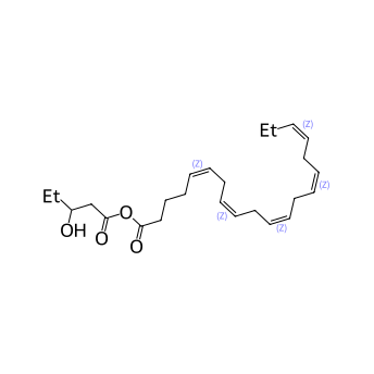 CC/C=C\C/C=C\C/C=C\C/C=C\C/C=C\CCCC(=O)OC(=O)CC(O)CC